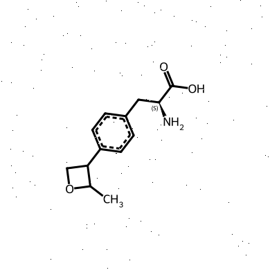 CC1OCC1c1ccc(C[C@H](N)C(=O)O)cc1